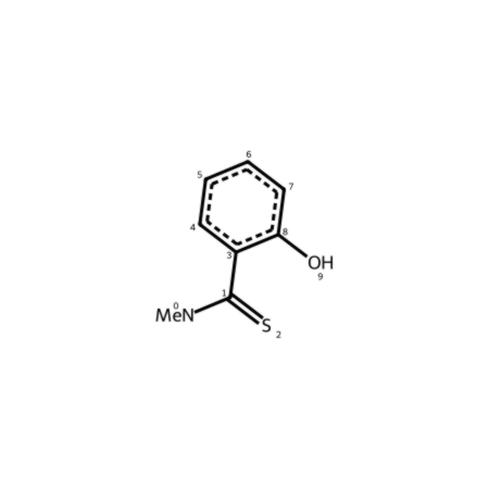 CNC(=S)c1ccccc1O